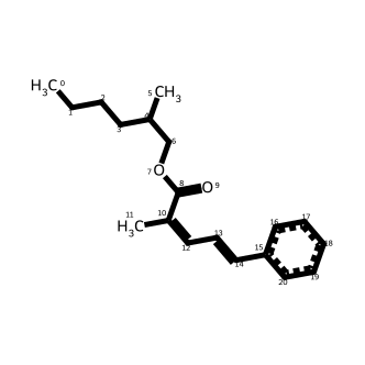 CCCCC(C)COC(=O)C(C)=CC=Cc1ccccc1